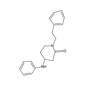 O=C1CC(Nc2ccccc2)CCN1CCc1ccccc1